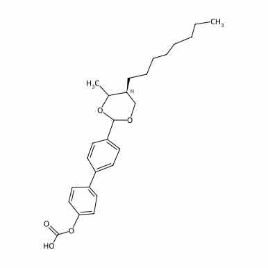 CCCCCCCC[C@H]1COC(c2ccc(-c3ccc(OC(=O)O)cc3)cc2)OC1C